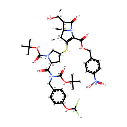 C[C@@H](O)[C@H]1C(=O)N2C(C(=O)OCc3ccc([N+](=O)[O-])cc3)=C(S[C@H]3C[C@@H](C(=O)N(Cc4ccc(OC(F)F)cc4)C(=O)OC(C)(C)C)N(C(=O)OC(C)(C)C)C3)[C@H](C)[C@H]12